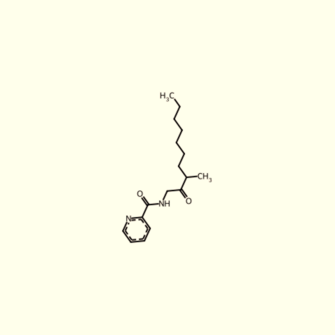 CCCCCCCC(C)C(=O)CNC(=O)c1ccccn1